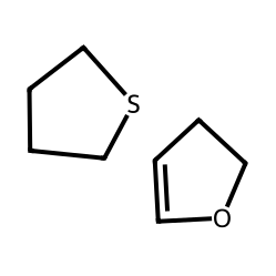 C1=COCC1.C1CCSC1